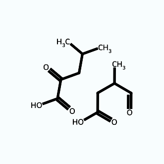 CC(C)CC(=O)C(=O)O.CC(C=O)CC(=O)O